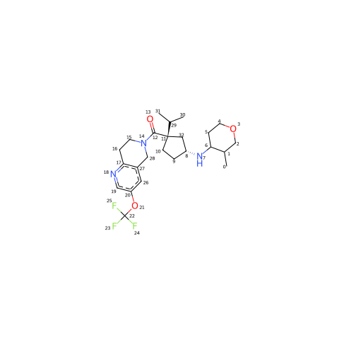 CC1COCCC1N[C@@H]1CC[C@@](C(=O)N2CCc3ncc(OC(F)(F)F)cc3C2)(C(C)C)C1